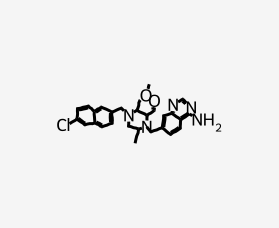 COCC1C(C=O)N(Cc2ccc3c(N)ncnc3c2)C(C)CN1Cc1ccc2cc(Cl)ccc2c1